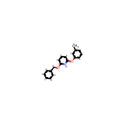 Cc1cccc(Oc2cccc(OCc3ccccc3)n2)c1